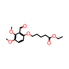 CCOC(=O)CCCCOc1ccc(OC)c(OC)c1C=O